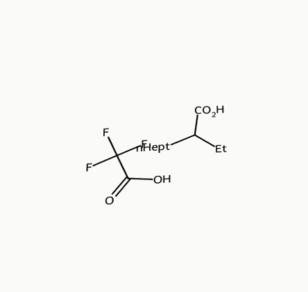 CCCCCCCC(CC)C(=O)O.O=C(O)C(F)(F)F